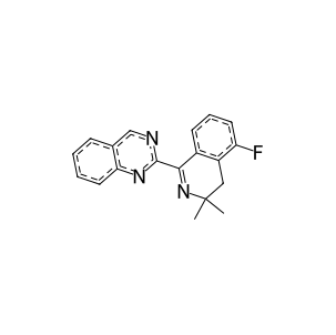 CC1(C)Cc2c(F)cccc2C(c2ncc3ccccc3n2)=N1